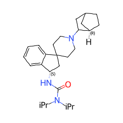 CC(C)N(C(=O)N[C@H]1CC2(CCN(C3CC4CC[C@@H]3C4)CC2)c2ccccc21)C(C)C